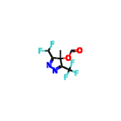 CC1(OC=O)C(C(F)F)=NN=C1C(F)(F)F